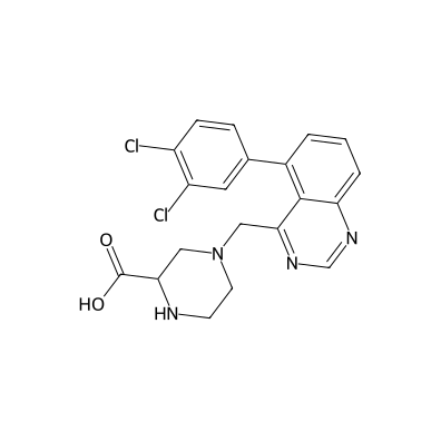 O=C(O)C1CN(Cc2ncnc3cccc(-c4ccc(Cl)c(Cl)c4)c23)CCN1